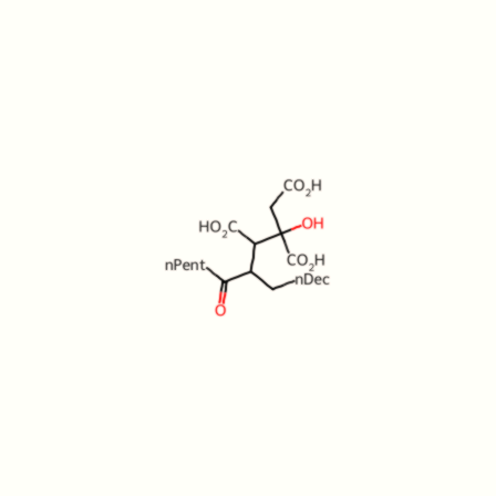 CCCCCCCCCCCC(C(=O)CCCCC)C(C(=O)O)C(O)(CC(=O)O)C(=O)O